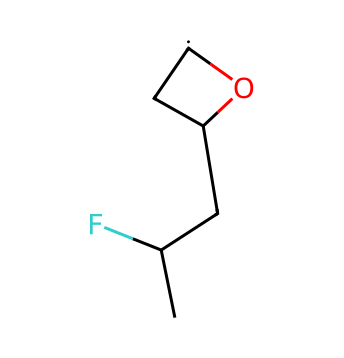 CC(F)CC1C[CH]O1